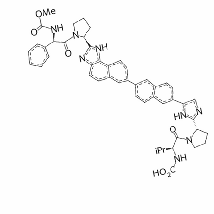 COC(=O)N[C@@H](C(=O)N1CCC[C@H]1c1nc2ccc3cc(-c4ccc5cc(-c6cnc([C@@H]7CCCN7C(=O)[C@@H](NC(=O)O)C(C)C)[nH]6)ccc5c4)ccc3c2[nH]1)c1ccccc1